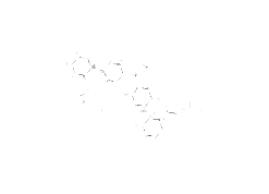 CC=Cc1ccccc1-c1ccc(C(=O)c2ccc(-c3ccccc3C=CC)cc2)cc1